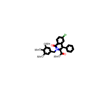 COC(=O)c1c(-c2ccccc2)c2cc(Br)ccc2c(=O)n1Cc1cc(OC)c(OC)c(OC)c1